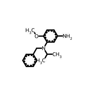 COc1ccc(N)cc1N(Cc1ccccc1)C(C)C